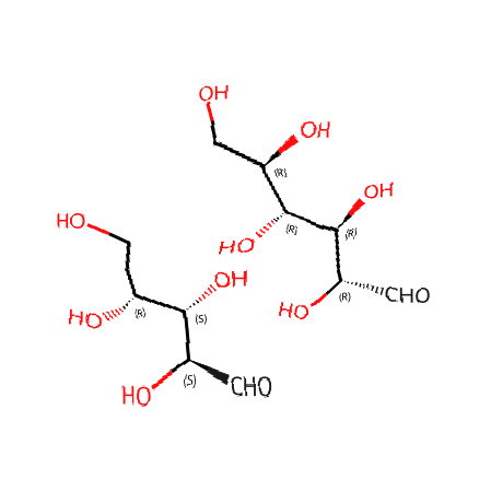 O=C[C@@H](O)[C@@H](O)[C@H](O)CO.O=C[C@H](O)[C@H](O)[C@H](O)[C@H](O)CO